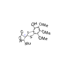 COc1c(O)c2c(c(OC)c1OC)S/C(=C1/C(=O)ON=C1C(C)(C)C)S2